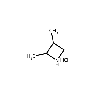 CC1CNC1C.Cl